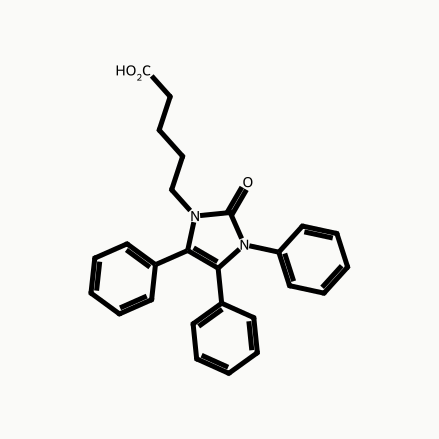 O=C(O)CCCCn1c(-c2ccccc2)c(-c2ccccc2)n(-c2ccccc2)c1=O